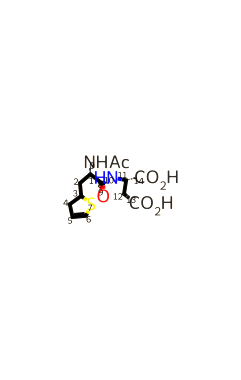 CC(=O)N[C@@H](CC1CC=CS1)C(=O)N[C@@H](CC(=O)O)C(=O)O